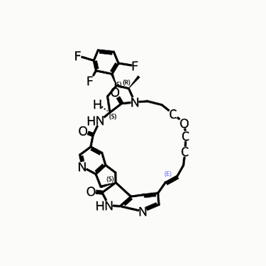 C[C@@H]1[C@H](c2c(F)ccc(F)c2F)C[C@@H]2NC(=O)c3cnc4c(c3)C[C@@]3(C4)C(=O)Nc4ncc(cc43)/C=C/CCCOCCCN1C2=O